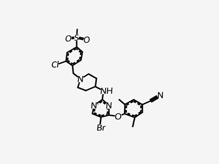 Cc1cc(C#N)cc(C)c1Oc1nc(NC2CCN(Cc3ccc(S(C)(=O)=O)cc3Cl)CC2)ncc1Br